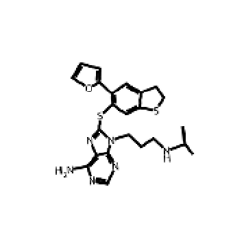 CC(C)NCCCn1c(Sc2cc3c(cc2-c2ccco2)CCS3)nc2c(N)ncnc21